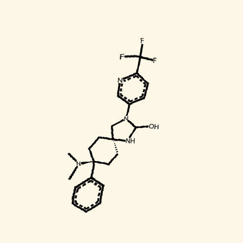 CN(C)[C@]1(c2ccccc2)CC[C@]2(CC1)CN(c1ccc(C(F)(F)F)nc1)C(O)N2